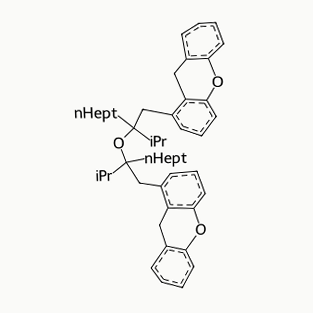 CCCCCCCC(Cc1cccc2c1Cc1ccccc1O2)(OC(CCCCCCC)(Cc1cccc2c1Cc1ccccc1O2)C(C)C)C(C)C